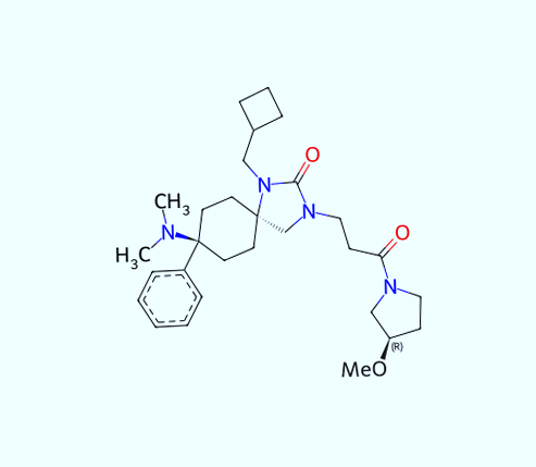 CO[C@@H]1CCN(C(=O)CCN2C[C@]3(CC[C@](c4ccccc4)(N(C)C)CC3)N(CC3CCC3)C2=O)C1